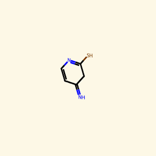 N=C1C=CN=C(S)C1